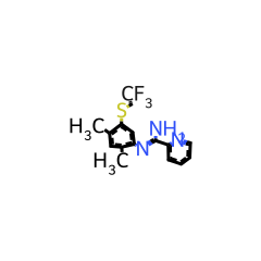 Cc1cc(C)c(SCC(F)(F)F)cc1/N=C(\N)c1ccccn1